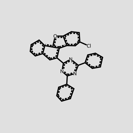 Clc1ccc2oc3c4ccccc4cc(-c4nc(-c5ccccc5)nc(-c5ccccc5)n4)c3c2c1